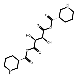 O=C(OC(=O)[C@H]1CCCNC1)C(O)C(O)C(=O)OC(=O)[C@H]1CCCNC1